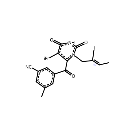 C/C=C(\I)Cn1c(C(=O)c2cc(C)cc(C#N)c2)c(C(C)C)c(=O)[nH]c1=O